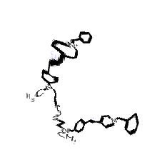 CN(CCSSCCN(C)c1ccc(/C=C/c2cc[n+](Cc3ccccc3)cc2)cc1)c1ccc(/C=C/c2cc[n+](Cc3ccccc3)cc2)cc1